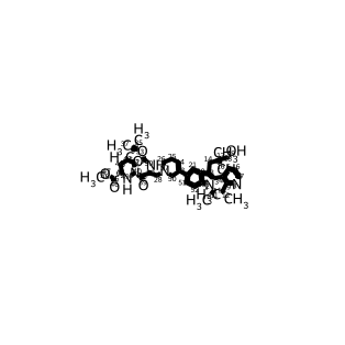 CCn1c(-c2cccnc2C(C)C)c(CC(C)(C)CO)c2cc(C3=CCCN(CC(NC(=O)OC(C)(C)C)C(=O)N4CCC[C@@H](C(=O)OC)N4)C3)ccc21